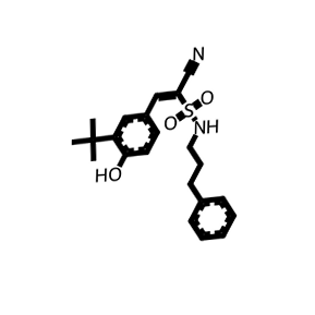 CC(C)(C)c1cc(C=C(C#N)S(=O)(=O)NCCCc2ccccc2)ccc1O